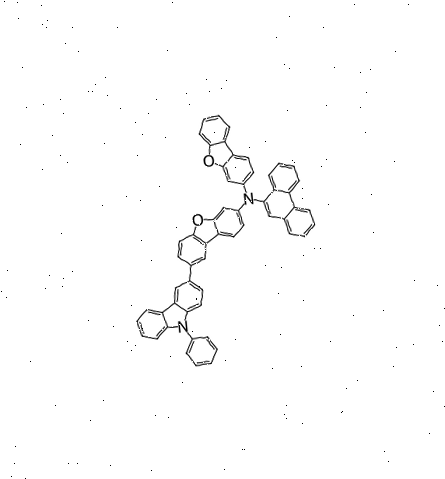 c1ccc(-n2c3ccccc3c3cc(-c4ccc5oc6cc(N(c7ccc8c(c7)oc7ccccc78)c7cc8ccccc8c8ccccc78)ccc6c5c4)ccc32)cc1